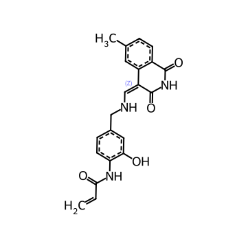 C=CC(=O)Nc1ccc(CN/C=C2\C(=O)NC(=O)c3ccc(C)cc32)cc1O